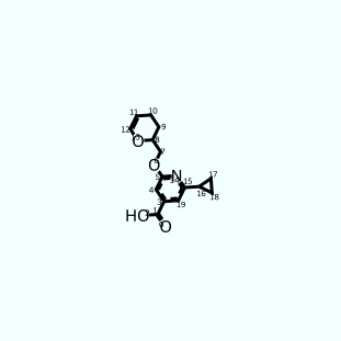 O=C(O)c1cc(OCC2CCC=CO2)nc(C2CC2)c1